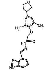 Cc1cc(C2CCOC2)cc(C)c1OCC(=O)N/N=C/c1cccc2[nH]ccc12